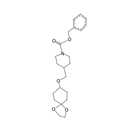 O=C(OCc1ccccc1)N1CCC(COC2CCC3(CC2)OCCO3)CC1